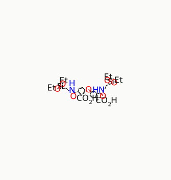 CCO[Si](C)(CCCNC(=O)c1ccc(Oc2ccc(C(=O)O)c(C(=O)NCCC[Si](C)(OCC)OCC)c2)cc1C(=O)O)OCC